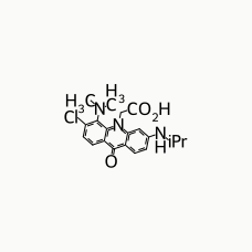 CC(C)Nc1ccc2c(=O)c3ccc(Cl)c(N(C)C)c3n(CC(=O)O)c2c1